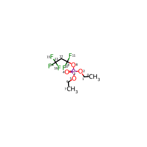 CCOP(=O)(OCC)OC(F)(F)CC(F)(F)F